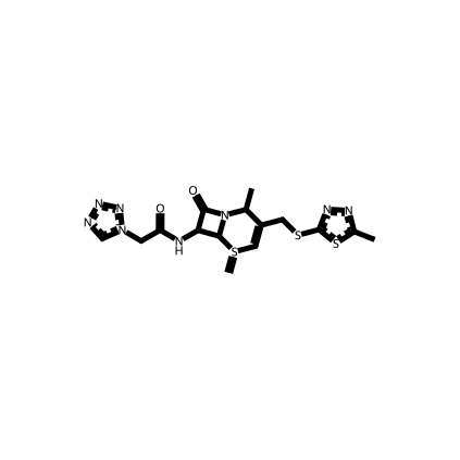 C=S1C=C(CSc2nnc(C)s2)C(C)N2C(=O)C(NC(=O)Cn3cnnn3)C21